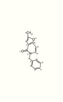 Cc1cc2c(=O)n(Cc3ccccc3)ccc2o1